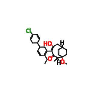 CCc1ccc(-c2ccc(Cl)cc2)cc1/C1=C(\O)C[C@H]2C=C[C@](OC)(CC2)[C@H](C)C1=O